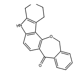 O=C1c2ccccc2COc2c1ccc1[nH]c3c(c21)CCCC3